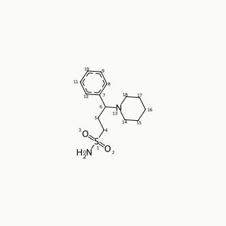 NS(=O)(=O)CCC(c1ccccc1)N1CCCCC1